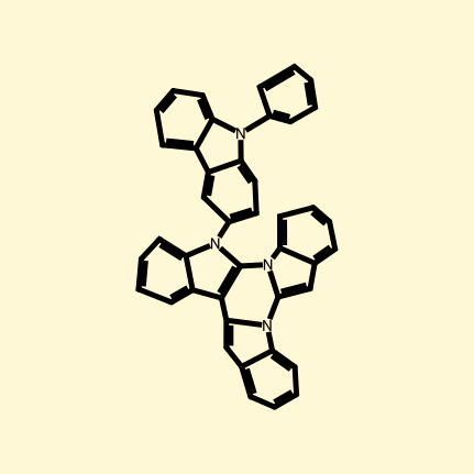 c1ccc(-n2c3ccccc3c3cc(-n4c5ccccc5c5c6cc7ccccc7n6c6cc7ccccc7n6c54)ccc32)cc1